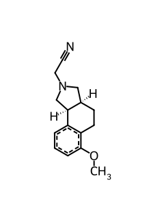 COc1cccc2c1CC[C@@H]1CN(CC#N)C[C@H]21